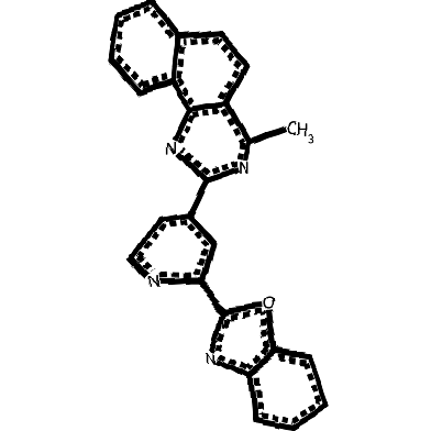 Cc1nc(-c2ccnc(-c3nc4ccccc4o3)c2)nc2c1ccc1ccccc12